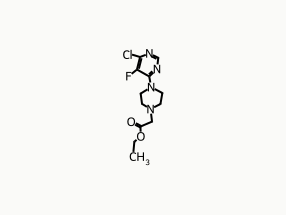 CCOC(=O)CN1CCN(c2ncnc(Cl)c2F)CC1